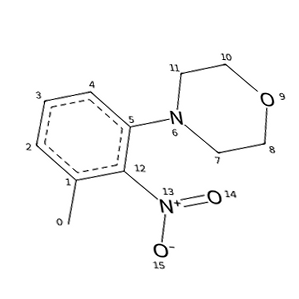 Cc1cccc(N2CCOCC2)c1[N+](=O)[O-]